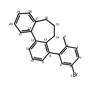 Cc1ccc(Br)cc1-c1cccc2c1CCCc1ccccc1-2